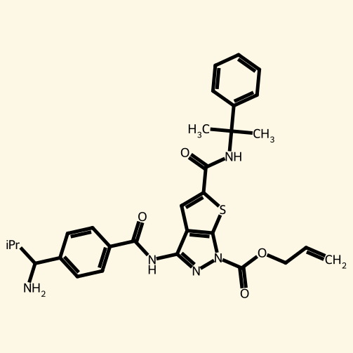 C=CCOC(=O)n1nc(NC(=O)c2ccc(C(N)C(C)C)cc2)c2cc(C(=O)NC(C)(C)c3ccccc3)sc21